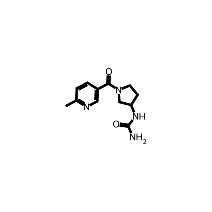 Cc1ccc(C(=O)N2CCC(NC(N)=O)C2)cn1